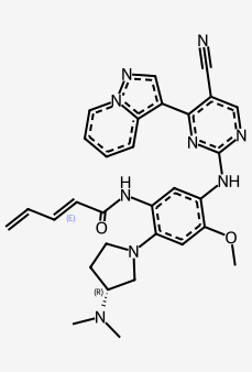 C=C/C=C/C(=O)Nc1cc(Nc2ncc(C#N)c(-c3cnn4ccccc34)n2)c(OC)cc1N1CC[C@@H](N(C)C)C1